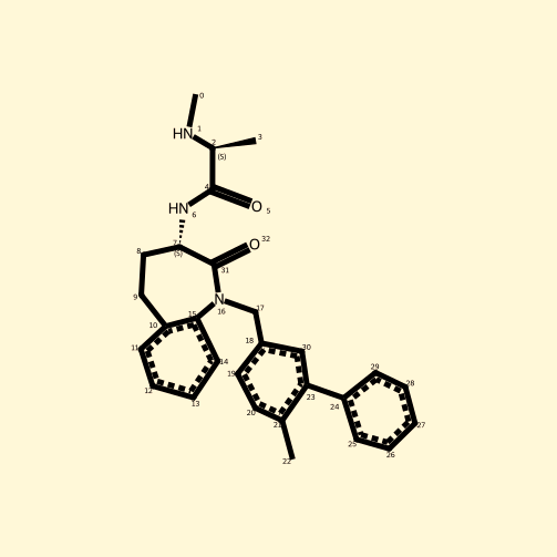 CN[C@@H](C)C(=O)N[C@H]1CCc2ccccc2N(Cc2ccc(C)c(-c3ccccc3)c2)C1=O